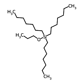 CCCCCCC[Si](CCCCCCC)(CCCCCCC)OCCC